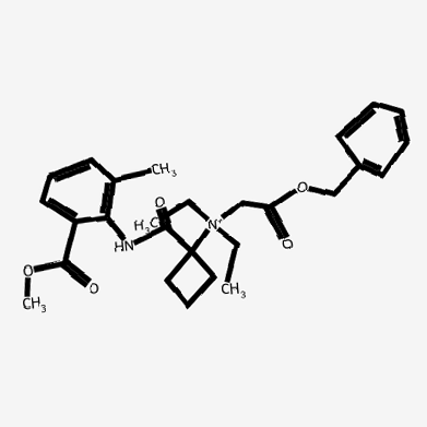 CC[N+](CC)(CC(=O)OCc1ccccc1)C1(C(=O)Nc2c(C)cccc2C(=O)OC)CCC1